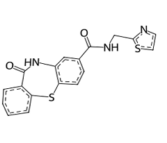 O=C(NCc1nccs1)c1ccc2c(c1)NC(=O)c1ccccc1S2